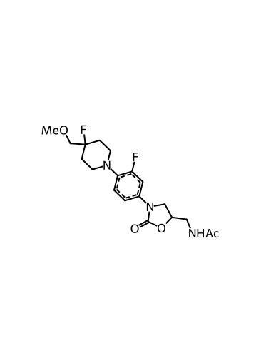 COCC1(F)CCN(c2ccc(N3CC(CNC(C)=O)OC3=O)cc2F)CC1